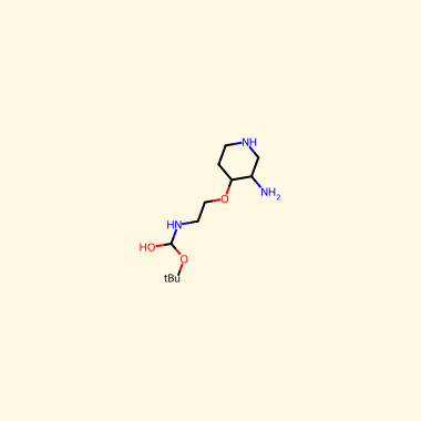 CC(C)(C)OC(O)NCCOC1CCNCC1N